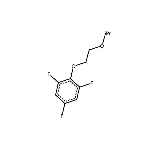 CC(C)OCCOc1c(F)cc(F)cc1F